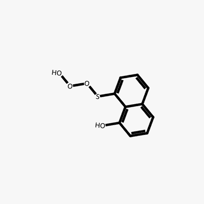 OOOSc1cccc2cccc(O)c12